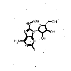 CCCCNc1nc2c(N)nc(I)nc2n1[C@@H]1O[C@H](CO)C(O)C1O